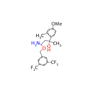 COc1ccc(C(C)(O)CC(N)OCc2cc(C(F)(F)F)cc(C(F)(F)F)c2)c(C)c1